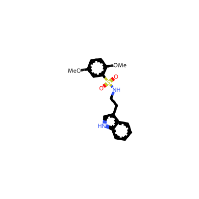 COc1ccc(OC)c(S(=O)(=O)NCCc2c[nH]c3ccccc23)c1